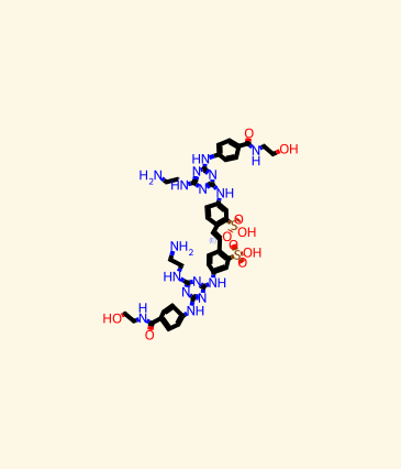 NCCNc1nc(Nc2ccc(C(=O)NCCO)cc2)nc(Nc2ccc(/C=C/c3ccc(Nc4nc(NCCN)nc(Nc5ccc(C(=O)NCCO)cc5)n4)cc3S(=O)(=O)O)c(S(=O)(=O)O)c2)n1